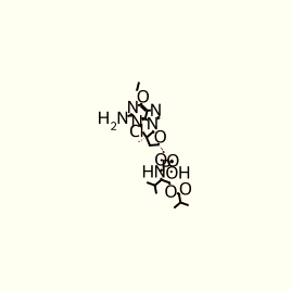 CCOc1nc(N)nc2c1ncn2[C@@H]1O[C@H](COP(=O)(O)NC(COC(=O)C(C)C)C(C)C)C[C@@]1(C)Cl